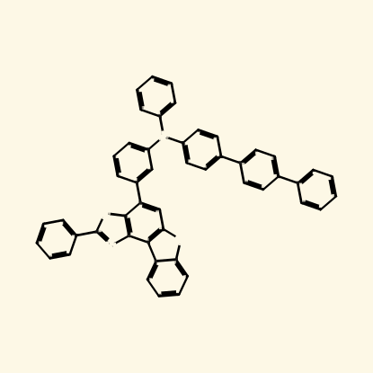 c1ccc(-c2ccc(-c3ccc(N(c4ccccc4)c4cccc(-c5cc6oc7ccccc7c6c6nc(-c7ccccc7)oc56)c4)cc3)cc2)cc1